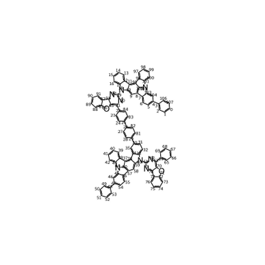 c1ccc(-c2ccc3c4cc5c(c6ccccc6n5-c5nc(-c6ccc(-c7ccc(-c8ccc9c(c8)c8c%10c%11ccccc%11n%11c%12cc(-c%13ccccc%13)ccc%12c(cc8n9-c8nc(-c9ccccc9)c9oc%12ccccc%12c9n8)c%10%11)cc7)cc6)c6oc7ccccc7c6n5)c5c6ccccc6n(c3c2)c45)cc1